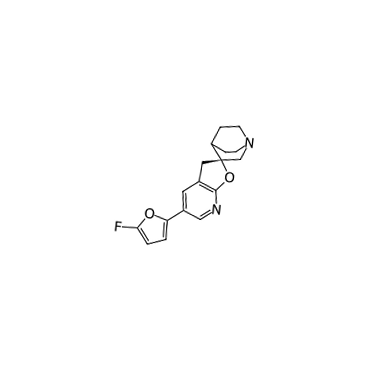 Fc1ccc(-c2cnc3c(c2)C[C@@]2(CN4CCC2CC4)O3)o1